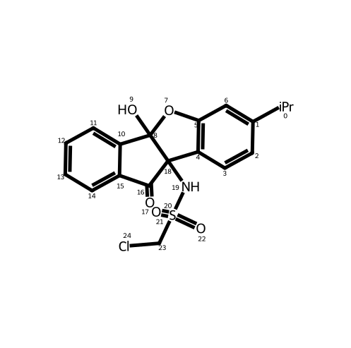 CC(C)c1ccc2c(c1)OC1(O)c3ccccc3C(=O)C21NS(=O)(=O)CCl